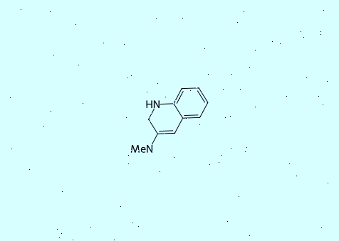 CNC1=Cc2ccccc2NC1